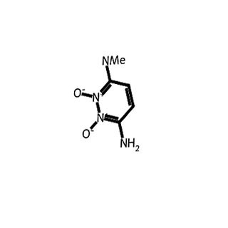 CNc1ccc(N)[n+]([O-])[n+]1[O-]